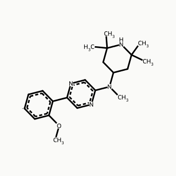 COc1c[c]ccc1-c1cnc(N(C)C2CC(C)(C)NC(C)(C)C2)cn1